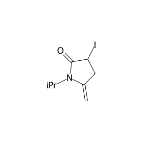 C=C1CC(I)C(=O)N1C(C)C